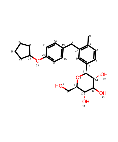 Cc1ccc([C@@H]2O[C@H](CO)[C@@H](O)C(O)[C@H]2O)cc1Cc1ccc(OC2CCCC2)cc1